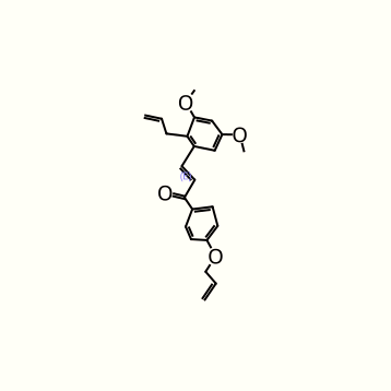 C=CCOc1ccc(C(=O)/C=C/c2cc(OC)cc(OC)c2CC=C)cc1